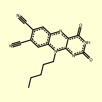 CCCCCn1c2nc(=O)[nH]c(=O)c-2nc2cc(C#N)c(C#N)cc21